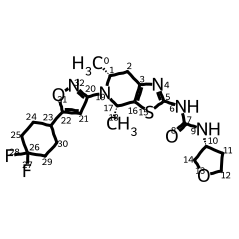 C[C@@H]1Cc2nc(NC(=O)N[C@@H]3CCOC3)sc2[C@H](C)N1c1cc(C2CCC(F)(F)CC2)on1